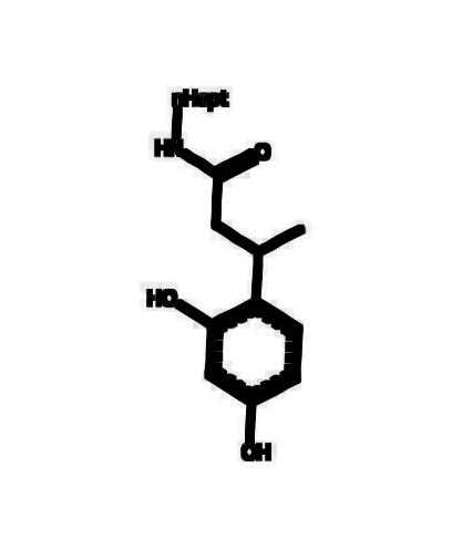 CCCCCCCNC(=O)CC(C)c1ccc(O)cc1O